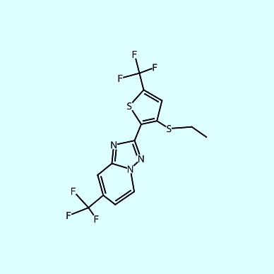 CCSc1cc(C(F)(F)F)sc1-c1nc2cc(C(F)(F)F)ccn2n1